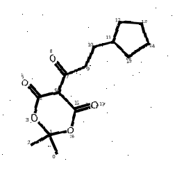 CC1(C)OC(=O)C(C(=O)CCC2CCCC2)C(=O)O1